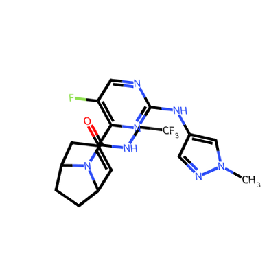 Cn1cc(Nc2ncc(F)c(C3=CC4CCC(C3)N4C(=O)NCC(F)(F)F)n2)cn1